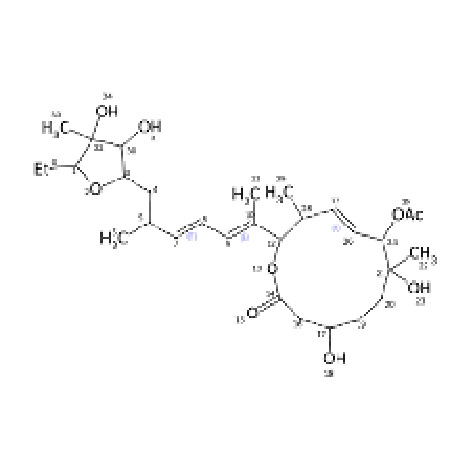 CCC1OC(CC(C)/C=C/C=C(\C)C2OC(=O)CC(O)CCC(C)(O)C(OC(C)=O)/C=C/C2C)C(O)C1(C)O